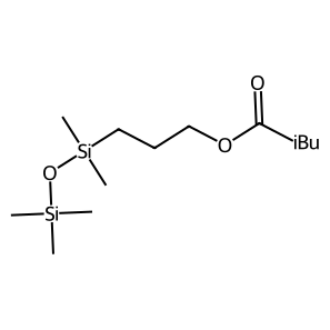 CCC(C)C(=O)OCCC[Si](C)(C)O[Si](C)(C)C